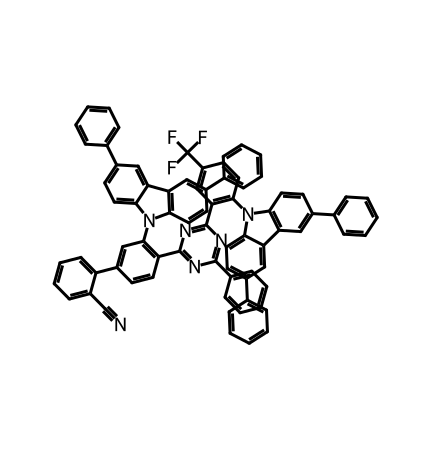 N#Cc1ccccc1-c1ccc(-c2nc(-c3ccccc3)nc(-c3cc(C(F)(F)F)ccc3-n3c4ccc(-c5ccccc5)cc4c4cc(-c5ccccc5)ccc43)n2)c(-n2c3ccc(-c4ccccc4)cc3c3cc(-c4ccccc4)ccc32)c1